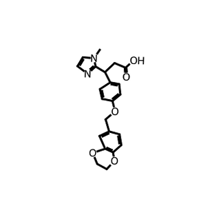 Cn1ccnc1C(CC(=O)O)c1ccc(OCc2ccc3c(c2)OCCO3)cc1